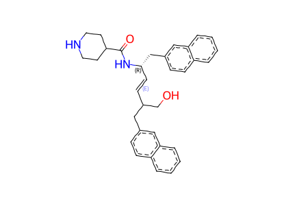 O=C(N[C@@H](/C=C/C(CO)Cc1ccc2ccccc2c1)Cc1ccc2ccccc2c1)C1CCNCC1